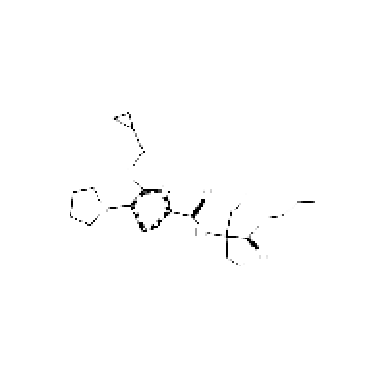 CCC(CC)(NC(=O)c1ccc(N2CCCC2)c(OCC2CC2)n1)C(=O)OCCF